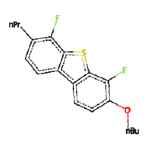 CCCCOc1ccc2c(sc3c(F)c(CCC)ccc32)c1F